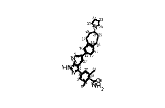 Cc1cc(-c2n[nH]c3ncc(-c4ccc5c(c4)CC[C@@H](N4CCCC4)CC5)cc23)cc(C)c1C(N)=O